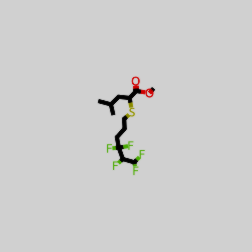 COC(=O)C(CC(C)C)SCCCC(F)(F)C(F)C(F)F